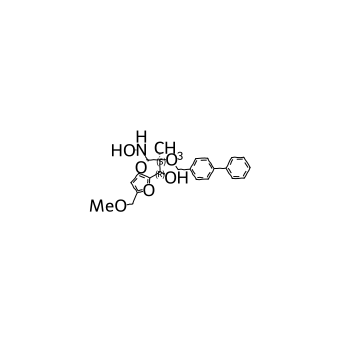 COCc1ccc([C@H](O)[C@](C)(OCc2ccc(-c3ccccc3)cc2)C(=O)NO)o1